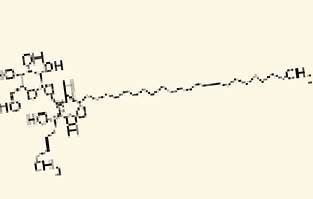 CCCCCCCCCCCCCCCCCCCCCCCC(=O)N[C@H](COC1OC(CO)C(O)C(O)C1O)[C@H](O)[C@@H](O)CCCCC